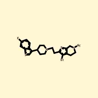 CCc1c(CCN2CCC(c3csc4cc(F)ccc34)CC2)sc2c1CCN(C(C)=O)C2